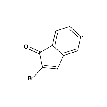 O=C1C(Br)=Cc2c[c]ccc21